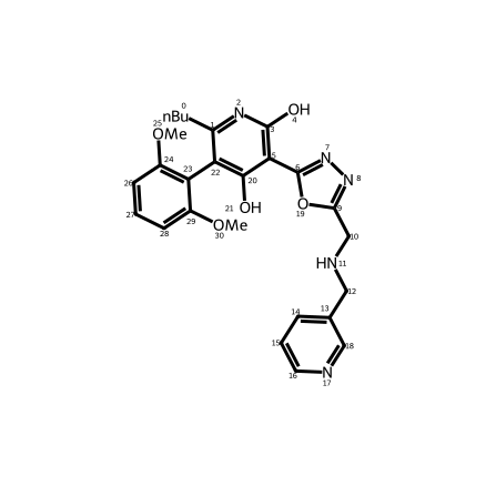 CCCCc1nc(O)c(-c2nnc(CNCc3cccnc3)o2)c(O)c1-c1c(OC)cccc1OC